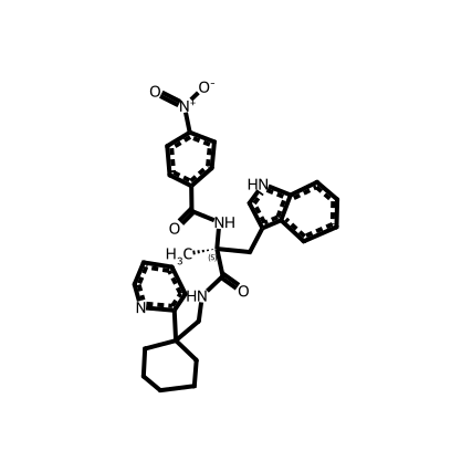 C[C@@](Cc1c[nH]c2ccccc12)(NC(=O)c1ccc([N+](=O)[O-])cc1)C(=O)NCC1(c2ccccn2)CCCCC1